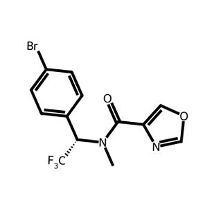 CN(C(=O)c1cocn1)[C@@H](c1ccc(Br)cc1)C(F)(F)F